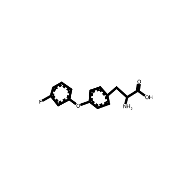 NC(Cc1ccc(Oc2cccc(F)c2)cc1)C(=O)O